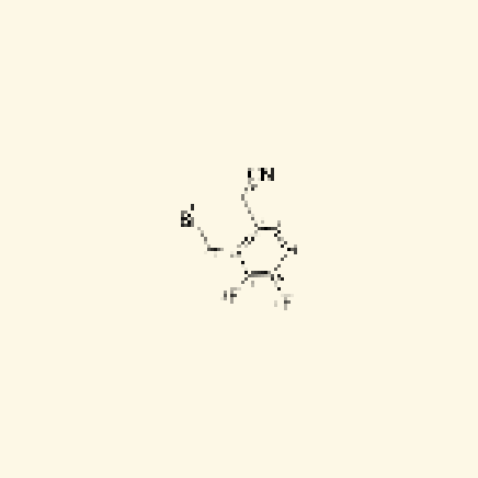 N#CCc1ccc(F)c(F)c1CBr